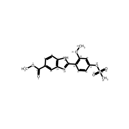 COC(=O)c1ccc2[nH]c(-c3ccc(OS(C)(=O)=O)cc3OC)nc2c1